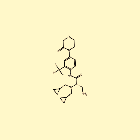 NC[C@@H](C(=O)Nc1ccc(N2CCOCC2=O)cc1C(F)(F)F)N(CC1CC1)CC1CC1